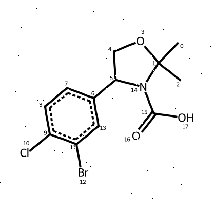 CC1(C)OCC(c2ccc(Cl)c(Br)c2)N1C(=O)O